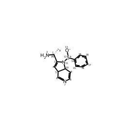 C[C@@H](N)C1=CC2C=NC=CC2N1[S+]([O-])c1ccccc1